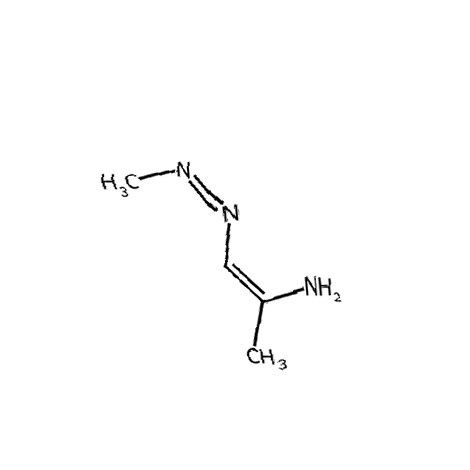 C/N=N\C=C(\C)N